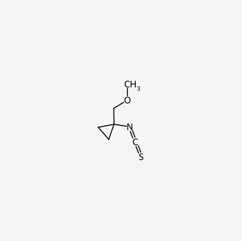 COCC1(N=C=S)CC1